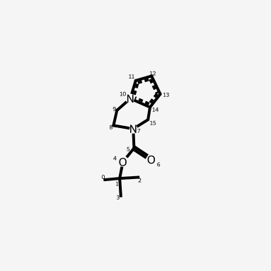 CC(C)(C)OC(=O)N1CCn2cccc2C1